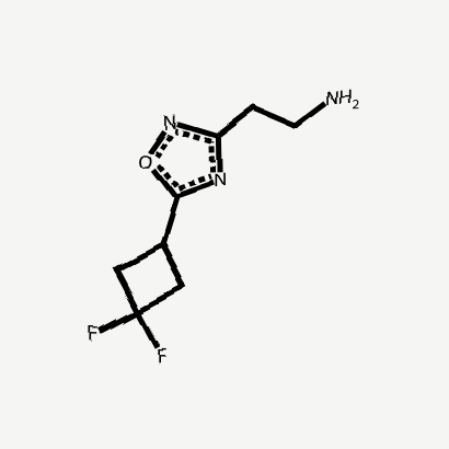 NCCc1noc(C2CC(F)(F)C2)n1